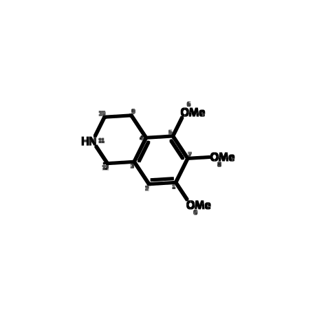 COc1cc2c(c(OC)c1OC)CCN[CH]2